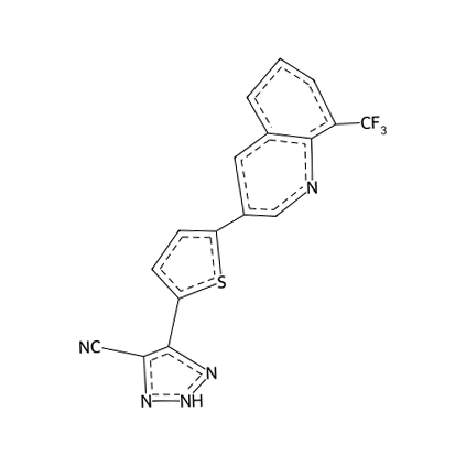 N#Cc1n[nH]nc1-c1ccc(-c2cnc3c(C(F)(F)F)cccc3c2)s1